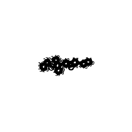 c1ccc2cc(-c3ccc4c(c3)oc3cc(-c5c6ccccc6c(Oc6cccc7ccccc67)c6ccccc56)ccc34)ccc2c1